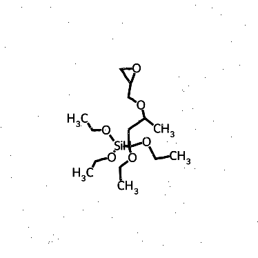 CCO[SiH](OCC)C(CC(C)OCC1CO1)(OCC)OCC